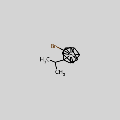 CC(C)[C]12[CH]3[CH]4[CH]5[C]1(Br)[Fe]45321678[CH]2[CH]1[CH]6[CH]7[CH]28